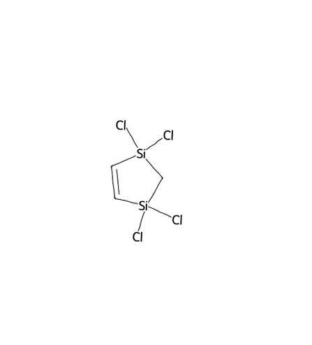 Cl[Si]1(Cl)C=C[Si](Cl)(Cl)C1